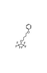 FC(F)(F)C(OCCCCOc1ccccc1)C(F)(F)F